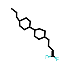 CCCC1CCC(C2CCC(CCC=C(F)F)CC2)CC1